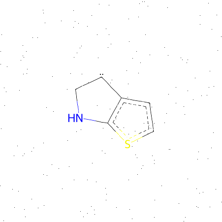 [C]1CNc2sccc21